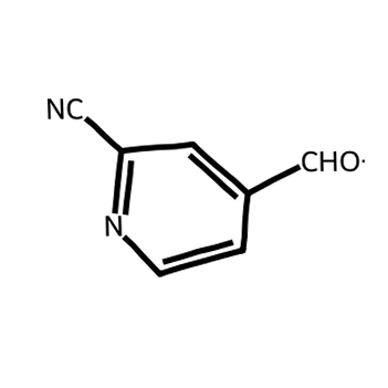 N#Cc1cc([C]=O)ccn1